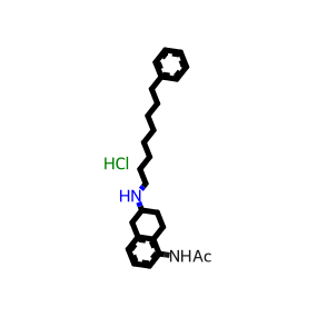 CC(=O)Nc1cccc2c1CCC(NCCCCCCCCc1ccccc1)C2.Cl